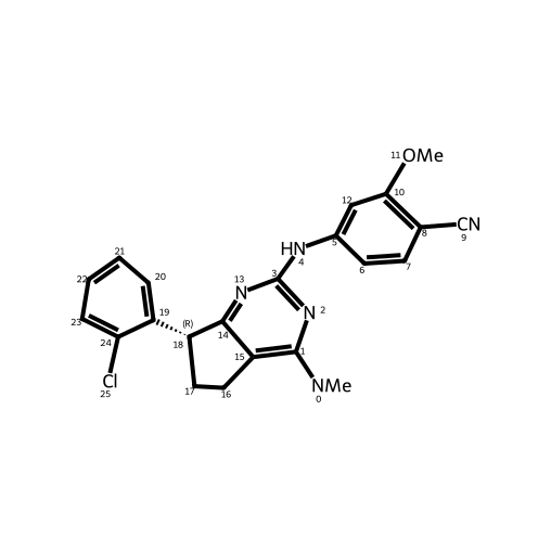 CNc1nc(Nc2ccc(C#N)c(OC)c2)nc2c1CC[C@@H]2c1ccccc1Cl